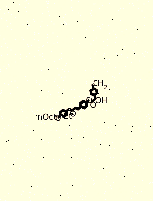 C=Cc1ccc(C(O)C(=O)Oc2ccc(C=CC(=Cc3ccc(OCCCCCCCC)cc3)OCC)cc2)cc1